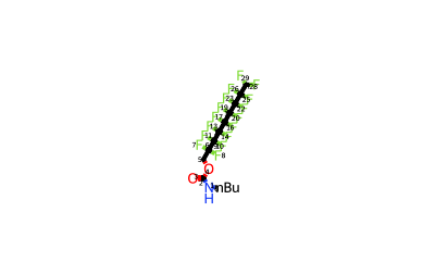 CCCCNC(=O)OCC(F)(F)C(F)(F)C(F)(F)C(F)(F)C(F)(F)C(F)(F)C(F)(F)C(F)F